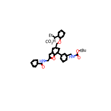 CCC(C(=O)O)c1ccccc1OCc1cc(-c2cccc(CNC(=O)OC(C)(C)C)c2)c2oc(CNC(=O)c3ccccc3)cc2c1